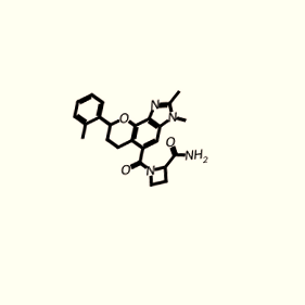 Cc1ccccc1C1CCc2c(C(=O)N3CCC3C(N)=O)cc3c(nc(C)n3C)c2O1